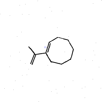 C=C(C)/C1=C/CCCCCC1